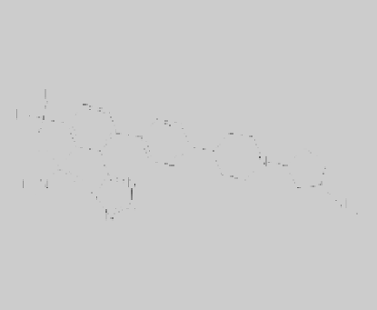 NC1CCC(N2CCC(c3ccc(-c4ccc(C(F)(F)F)c(S(N)(=O)=O)c4-c4nnn[nH]4)cc3)CC2)C1